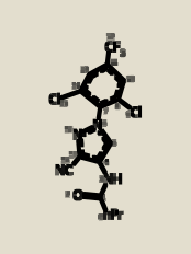 CCCC(=O)Nc1cn(-c2c(Cl)cc(C(F)(F)F)cc2Cl)nc1C#N